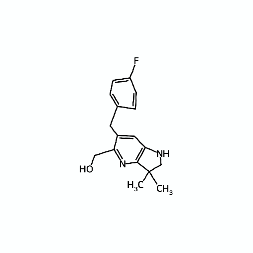 CC1(C)CNc2cc(Cc3ccc(F)cc3)c(CO)nc21